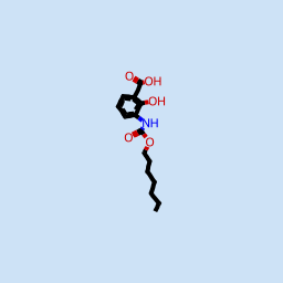 CCCCCCCOC(=O)Nc1cccc(C(=O)O)c1O